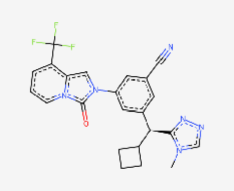 Cn1cnnc1[C@H](c1cc(C#N)cc(-n2cc3c(C(F)(F)F)cccn3c2=O)c1)C1CCC1